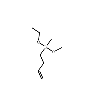 C=CCC[Si](C)(OC)OCC